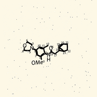 COc1cc(N2CCOCC2)cc(C)c1NC(=O)CC1CC2CCC1C2